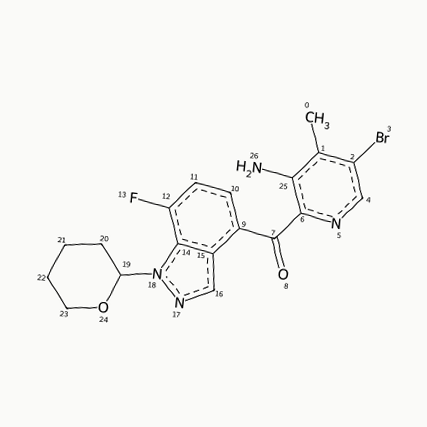 Cc1c(Br)cnc(C(=O)c2ccc(F)c3c2cnn3C2CCCCO2)c1N